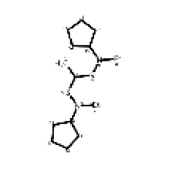 CCN(SC(C)SN(CC)C1CCCC1)C1CCCC1